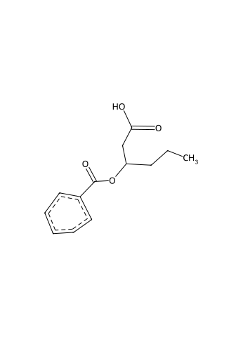 CCCC(CC(=O)O)OC(=O)c1ccccc1